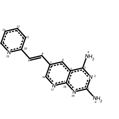 Nc1nc(N)c2cc(/C=C/c3ccccn3)cnc2n1